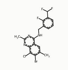 Cc1nc(NCc2cccc(C(F)F)c2F)c2cc(C)c(Br)c(Cl)c2n1